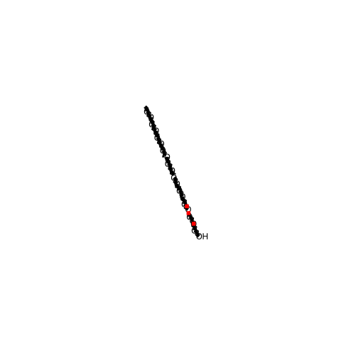 CCOCCOCCOCCOCCOCCOCCOCCOCCOCCOCCOCCOCCOCCOCCOCCOCCOCCOCCOCCO